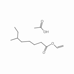 C=COC(=O)CCCCC(C)CC.CC(=O)O